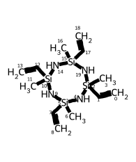 C=C[Si]1(C)N[Si](C)(C=C)N[Si](C)(C=C)N[Si](C)(C=C)N1